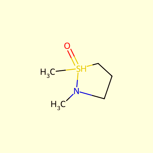 CN1CCC[SH]1(C)=O